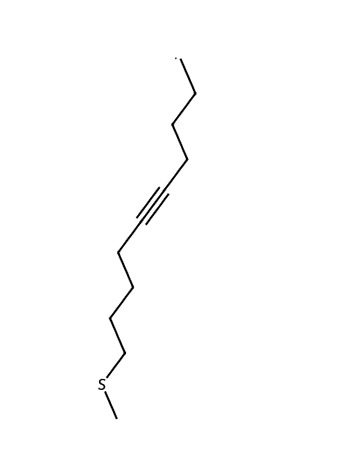 [CH2]CCCC#CCCCCSC